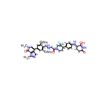 COc1cc(-c2cn(C)c(=O)c3c2cnn3C)cc(OC)c1CNCC(=O)N1CCC(c2ccc(NC3CCC(=O)NC3O)cc2)C(F)(F)C1